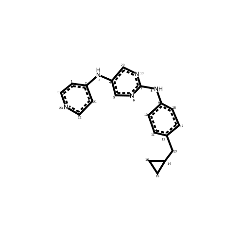 c1cc(Nc2cnc(Nc3ccc(CC4CC4)cc3)nc2)ccn1